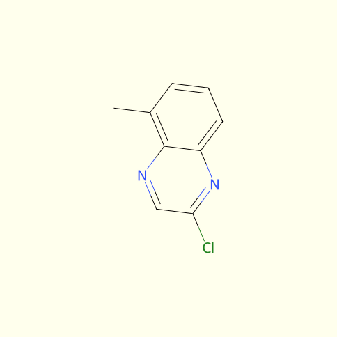 Cc1cccc2nc(Cl)cnc12